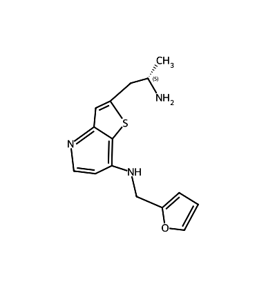 C[C@H](N)Cc1cc2nccc(NCc3ccco3)c2s1